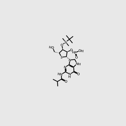 CC(C)C(=O)Nc1nc2c(c(=O)[nH]1)NCN2[C@@H]1S[C@H](CO)[C@@H](O[Si](C)(C)C(C)(C)C)[C@H]1O[PH](=O)O